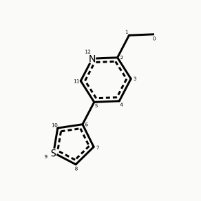 CCc1ccc(-c2ccsc2)cn1